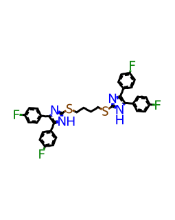 Fc1ccc(-c2nc(SCCCCSc3nc(-c4ccc(F)cc4)c(-c4ccc(F)cc4)[nH]3)[nH]c2-c2ccc(F)cc2)cc1